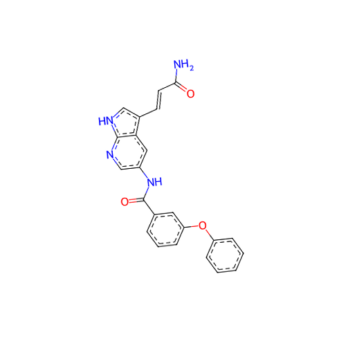 NC(=O)C=Cc1c[nH]c2ncc(NC(=O)c3cccc(Oc4ccccc4)c3)cc12